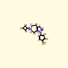 Brc1ccc(-n2ncc3c2CCN(C2CCC2)CC3)cc1